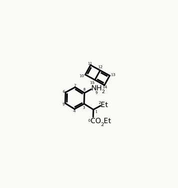 CCOC(=O)C(CC)c1ccccc1N.c1cc2ccc1-2